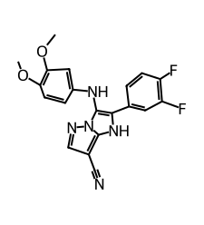 COc1ccc(Nc2c(-c3ccc(F)c(F)c3)[nH]c3c(C#N)cnn23)cc1OC